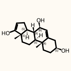 C[C@]12CC[C@H](O)CC1=C[C@H](O)[C@@H]1[C@@H]2CC[C@]2(C)C(O)=CC[C@@H]12